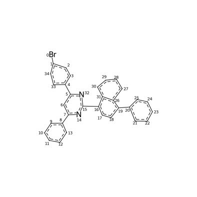 Brc1ccc(-c2cc(-c3ccccc3)nc(-c3ccc(-c4ccccc4)c4ccccc34)n2)cc1